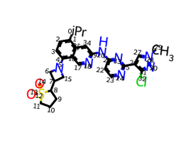 CC(C)c1ccc(N2CC(C3CCCS3(=O)=O)C2)c2cnc(Nc3ccnc(-c4cn(C)nc4Cl)n3)cc12